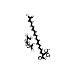 CC(=O)C(CCCCCCCCCCCCCCCC(C)C)C(=O)[O-].CC(C)[O][Al+][O]C(C)C